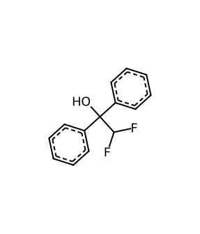 OC(c1ccccc1)(c1ccccc1)C(F)F